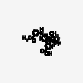 CC(=O)c1cccc(Nc2ncc(-c3cncc(C(=O)O)c3)c(N3NC(C(F)(F)F)C=C3C)n2)c1